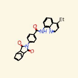 CCc1ccnc2c(NC(=O)c3ccc(N4C(=O)C5C6C=CC(C6)C5C4=O)cc3)cccc12